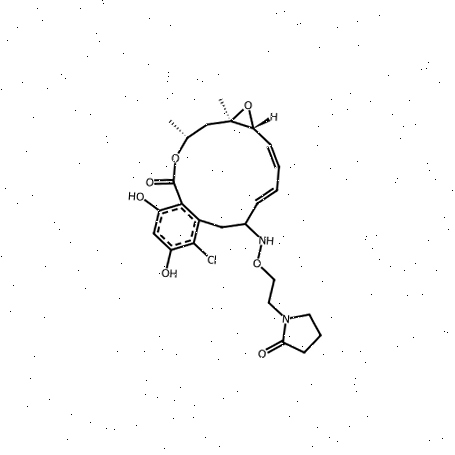 C[C@@H]1C[C@@]2(C)O[C@@H]2/C=C\C=C\C(NOCCN2CCCC2=O)Cc2c(Cl)c(O)cc(O)c2C(=O)O1